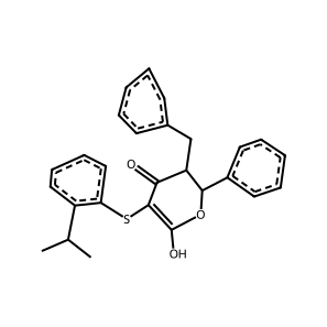 CC(C)c1ccccc1SC1=C(O)OC(c2ccccc2)C(Cc2ccccc2)C1=O